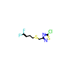 FC(F)=CCCSCc1nsc(Cl)n1